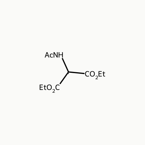 CCOC(=O)[C](NC(C)=O)C(=O)OCC